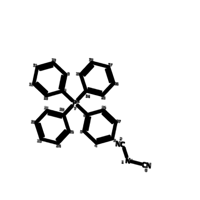 N#C[N-]C#N.c1ccc([P+](c2ccccc2)(c2ccccc2)c2ccccc2)cc1